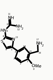 COc1ccc(-c2csc(NC(=N)N)n2)cc1CN